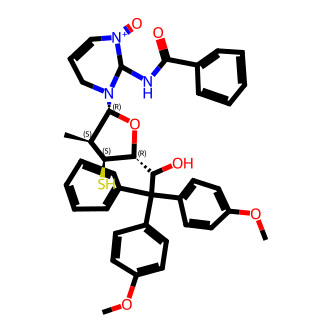 COc1ccc(C(c2ccccc2)(c2ccc(OC)cc2)C(O)[C@H]2O[C@@H](N3CC=C[N+](=O)C3NC(=O)c3ccccc3)[C@H](C)[C@@H]2S)cc1